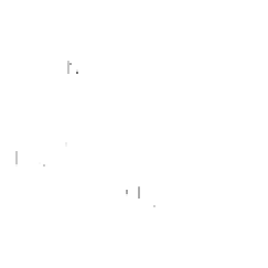 C=C(CCC(=C)c1ccc2c(c1)CCCC2)c1ccncc1